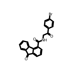 O=C(CNC(=O)c1cccc2c1-c1ccccc1C2=O)c1ccc(Br)cc1